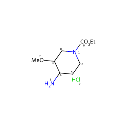 CCOC(=O)N1CCC(N)C(OC)C1.Cl